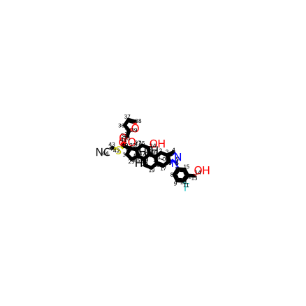 C[C@]12Cc3cnn(-c4ccc(F)c(CO)c4)c3C=C1CC[C@@H]1[C@@H]2[C@@H](O)C[C@@]2(C)[C@H]1CC[C@]2(OC(=O)C1CC=CO1)C(=O)SCC#N